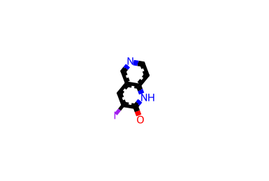 O=c1[nH]c2ccncc2cc1I